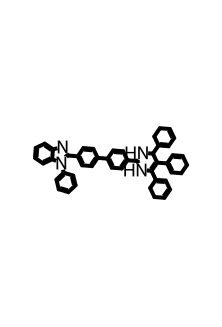 C1=CCCC(C2=C(C3=CCCC=C3)C(C3=CC=CCC3)NC(c3ccc(-c4ccc(-c5nc6ccccc6n5-c5ccccc5)cc4)cc3)N2)=C1